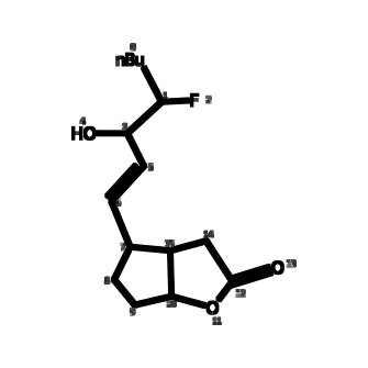 CCCCC(F)C(O)C=CC1CCC2OC(=O)CC12